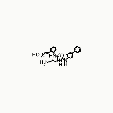 NCCC[C@H](NC(=O)Nc1ccc(-c2ccccc2)cc1)C(=O)Nc1ccccc1C=CC(=O)O